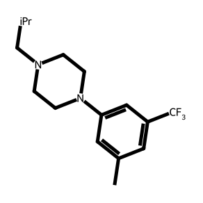 Cc1cc(N2CCN(CC(C)C)CC2)cc(C(F)(F)F)c1